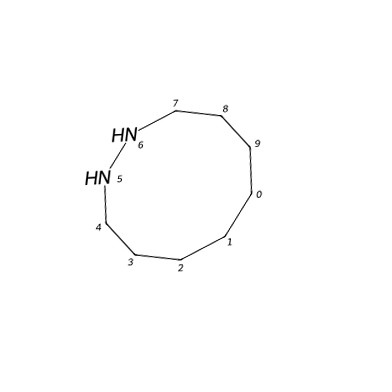 C1CCCCNNCCC1